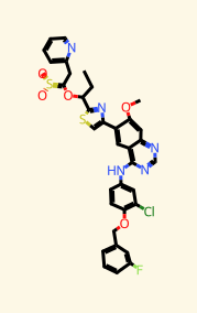 CCC(OC(Cc1ccccn1)=S(=O)=O)c1nc(-c2cc3c(Nc4ccc(OCc5cccc(F)c5)c(Cl)c4)ncnc3cc2OC)cs1